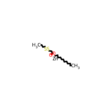 CCCCCCCCCCCCOC(=O)CCSSCCCC.[Zn]